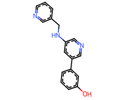 Oc1cccc(-c2cncc(NCc3cccnc3)c2)c1